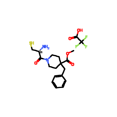 COC(=O)C1(Cc2ccccc2)CCN(C(=O)[C@@H](N)CS)CC1.O=C(O)C(F)(F)F